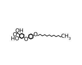 CCCCCCCCCCCCOc1ccc(Oc2ccc(C(=O)O)c(O)c2)cc1